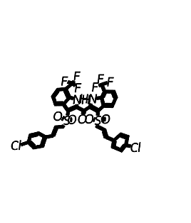 O=C(c1[nH]c2c(C(F)(F)F)cccc2c1S(=O)(=O)CC=Cc1ccc(Cl)cc1)c1[nH]c2c(C(F)(F)F)cccc2c1S(=O)(=O)CC=Cc1ccc(Cl)cc1